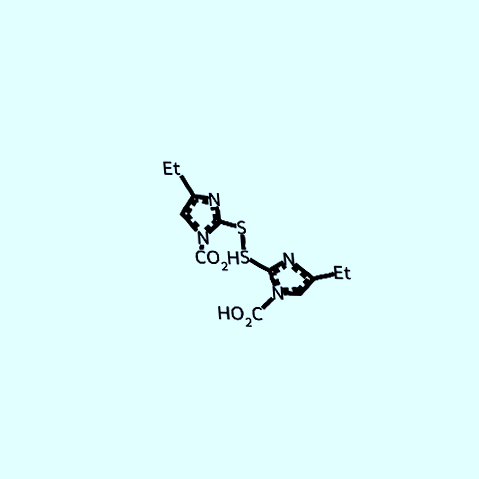 CCc1cn(C(=O)O)c(SSc2nc(CC)cn2C(=O)O)n1